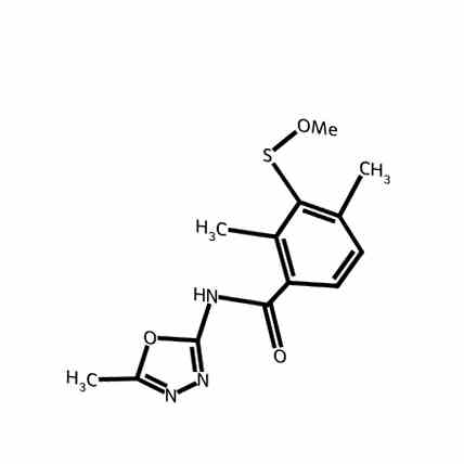 COSc1c(C)ccc(C(=O)Nc2nnc(C)o2)c1C